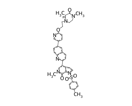 Cc1ccc(S(=O)(=O)n2ccc3c(-c4ccc5cc(-c6ccc(OCCN7CCN(C)C(=O)[C@H]7C)nc6)ccc5n4)cn(C)c(=O)c32)cc1